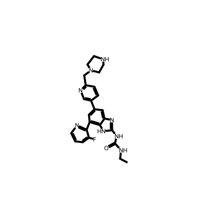 CCNC(=O)Nc1nc2cc(-c3ccc(CN4CCNCC4)nc3)cc(-c3ncccc3F)c2[nH]1